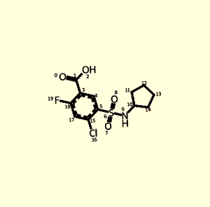 O=C(O)c1cc(S(=O)(=O)NC2CCCC2)c(Cl)cc1F